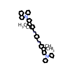 CC1(C)c2cc(/C=C/c3ccc(/C=C/c4ccc5c(c4)C(C)(C)c4cc(N(c6ccccc6)c6cccc7ccccc67)ccc4-5)cc3)ccc2-c2ccc(N(c3ccccc3)c3ccccc3)cc21